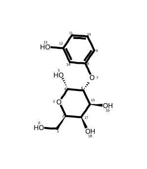 OC[C@H]1O[C@H](O)[C@H](Oc2cccc(O)c2)[C@@H](O)[C@H]1O